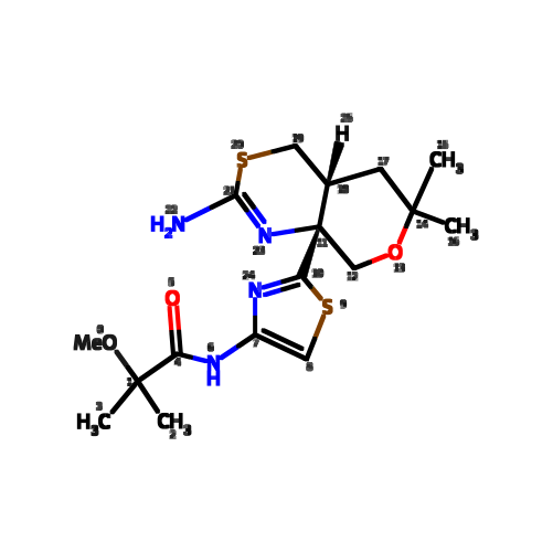 COC(C)(C)C(=O)Nc1csc([C@]23COC(C)(C)C[C@H]2CSC(N)=N3)n1